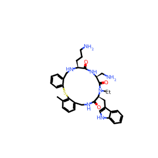 CCN1C(=O)[C@H](CN)NC(=O)[C@H](CCCN)NCc2ccccc2Sc2c(C)cccc2CNC(=O)[C@@H]1Cc1c[nH]c2ccccc12